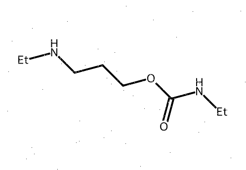 CCNCCCOC(=O)NCC